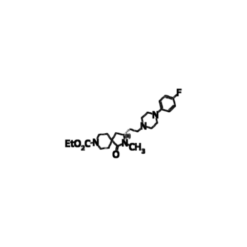 CCOC(=O)N1CCC2(CC1)C[C@H](CCN1CCN(c3ccc(F)cc3)CC1)N(C)C2=O